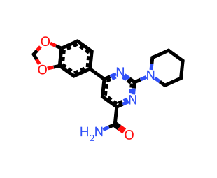 NC(=O)c1cc(-c2ccc3c(c2)OCO3)nc(N2CCCCC2)n1